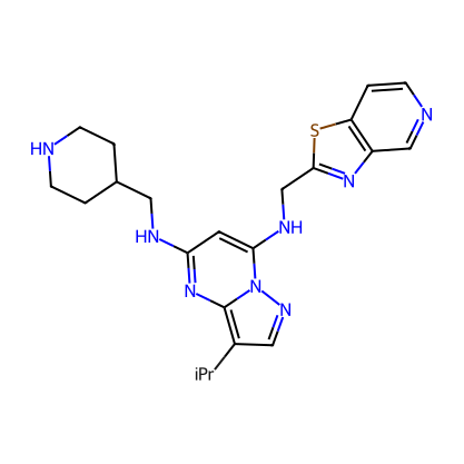 CC(C)c1cnn2c(NCc3nc4cnccc4s3)cc(NCC3CCNCC3)nc12